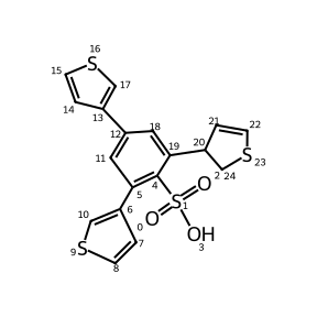 O=S(=O)(O)c1c(-c2ccsc2)cc(-c2ccsc2)cc1C1C=CSC1